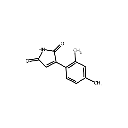 Cc1ccc(C2=CC(=O)NC2=O)c(C)c1